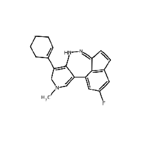 CN1C=C2C(=C(C3=CC[CH]CC3)C1)NN=C1C=Cc3cc(F)cc2c31